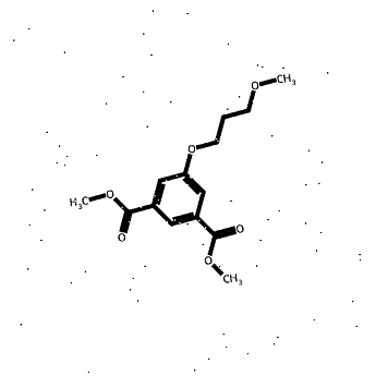 COCCCOc1cc(C(=O)OC)cc(C(=O)OC)c1